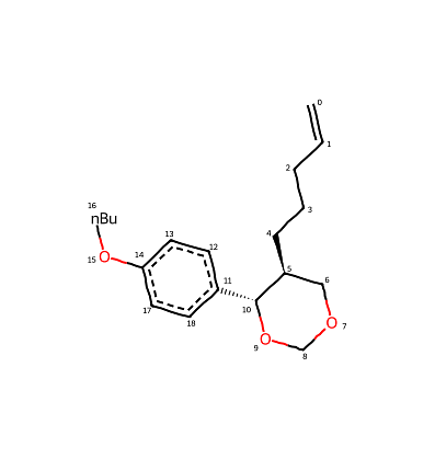 C=CCCC[C@H]1COCO[C@@H]1c1ccc(OCCCC)cc1